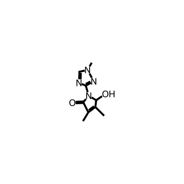 CC1=C(C)C(O)N(c2ncn(C)n2)C1=O